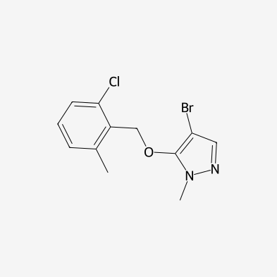 Cc1cccc(Cl)c1COc1c(Br)cnn1C